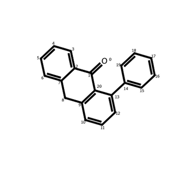 O=C1c2ccccc2Cc2cccc(-c3ccccc3)c21